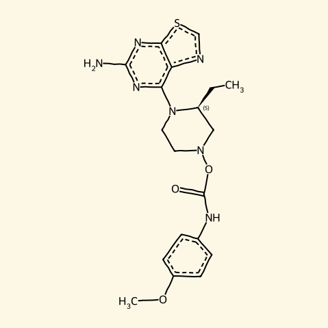 CC[C@H]1CN(OC(=O)Nc2ccc(OC)cc2)CCN1c1nc(N)nc2scnc12